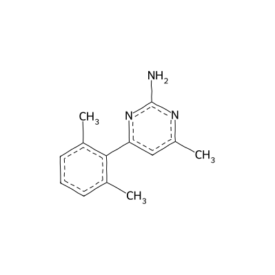 Cc1cc(-c2c(C)cccc2C)nc(N)n1